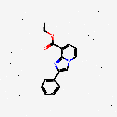 CCOC(=O)c1cccn2cc(-c3ccccc3)nc12